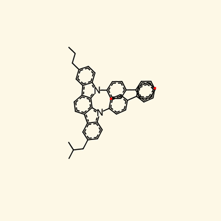 CCCc1ccc2c(c1)c1ccc3c4cc(CC(C)C)ccc4n(-c4ccc(-c5ccccc5)cc4)c3c1n2-c1ccc(-c2ccccc2)cc1